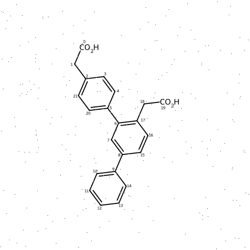 O=C(O)Cc1ccc(-c2cc(-c3ccccc3)ccc2CC(=O)O)cc1